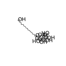 CC(=O)OCC1O[C@@H](O[C@H]2C(O)[C@H](O)C(CO)O[C@H]2C)[C@@H](O)C(O)[C@@H]1OC(=O)CCCCCCCCCCCCCCCC(C)O